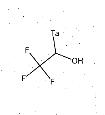 O[CH]([Ta])C(F)(F)F